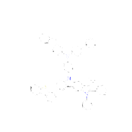 CC1(C)c2ccccc2-c2ccc(N(c3ccc(-c4ccccc4)cc3)c3ccc(-n4c5ccc(-c6cccc7c6sc6ccccc67)cc5c5cc6c(cc54)c4c(n6-c5ccccc5)-c5ccccc5C4(C)C)cc3)cc21